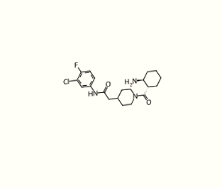 N[C@H]1CCCC[C@@H]1C(=O)N1CCC(CC(=O)Nc2ccc(F)c(Cl)c2)CC1